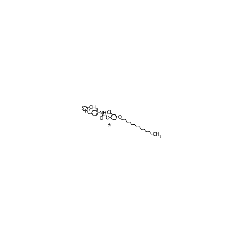 CCCCCCCCCCCCCCOc1ccc(OCC(=O)Nc2ccc(C[n+]3cscc3C)cc2)c(Cl)c1.[Br-]